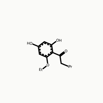 CCOc1cc(O)cc(O)c1C(=O)CC(C)C